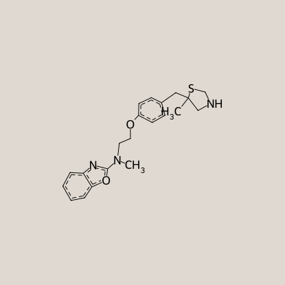 CN(CCOc1ccc(CC2(C)CNCS2)cc1)c1nc2ccccc2o1